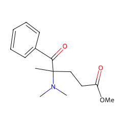 COC(=O)CCC(C)(C(=O)c1ccccc1)N(C)C